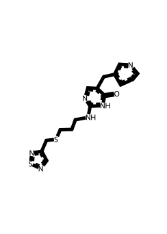 O=c1[nH]c(NCCCSCc2cnsn2)ncc1Cc1cccnc1